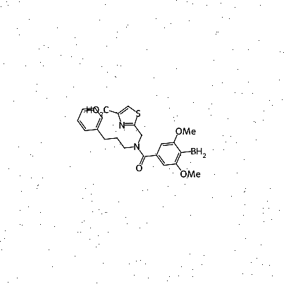 Bc1c(OC)cc(C(=O)N(CCCc2ccccc2)Cc2nc(C(=O)O)cs2)cc1OC